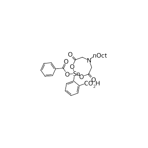 CCCCCCCCN1CC(=O)[O][Sn]([O]C(=O)c2ccccc2)([c]2ccccc2C(=O)O)[O]C(=O)C1